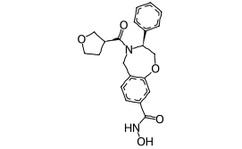 O=C(NO)c1ccc2c(c1)OC[C@H](c1ccccc1)N(C(=O)[C@H]1CCOC1)C2